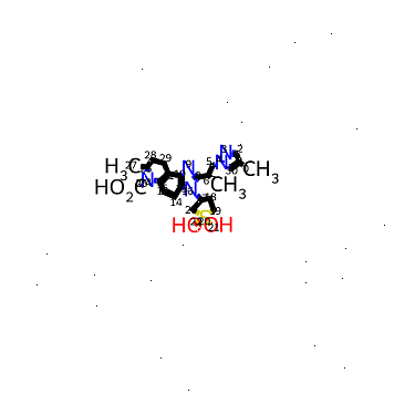 Cc1cnn(CC(C)c2nc3c4c(ccc3n2C2CCS(O)(O)C2)N(C(=O)O)C(C)CC4)c1